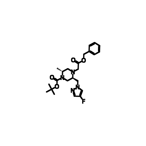 C[C@@H]1CN(CC(=O)OCc2ccccc2)[C@@H](Cn2cc(F)cn2)CN1C(=O)OC(C)(C)C